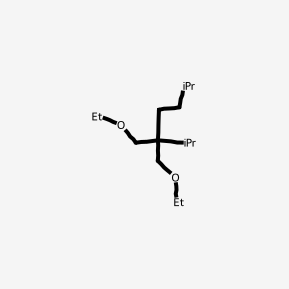 CCOCC(CCC(C)C)(COCC)C(C)C